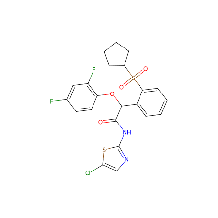 O=C(Nc1ncc(Cl)s1)C(Oc1ccc(F)cc1F)c1ccccc1S(=O)(=O)C1CCCC1